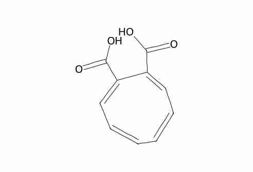 O=C(O)C1=C/C=C\C=C/C=C\1C(=O)O